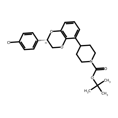 CC(C)(C)OC(=O)N1CCC(c2cccc3c2OC[C@H](c2ccc(Cl)cc2)O3)CC1